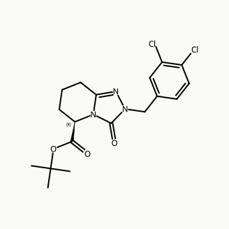 CC(C)(C)OC(=O)[C@H]1CCCc2nn(Cc3ccc(Cl)c(Cl)c3)c(=O)n21